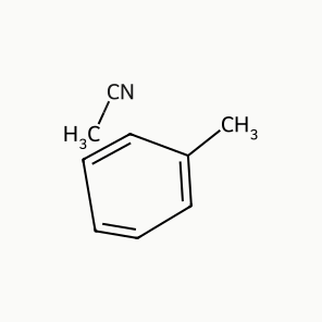 CC#N.Cc1ccccc1